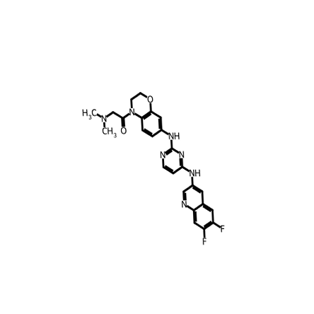 CN(C)CC(=O)N1CCOc2cc(Nc3nccc(Nc4cnc5cc(F)c(F)cc5c4)n3)ccc21